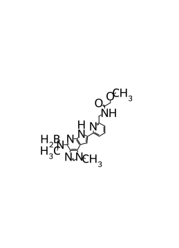 BN(C)c1nc2[nH]c(-c3cccc(CNC(=O)COC)n3)cc2c2c1ncn2C